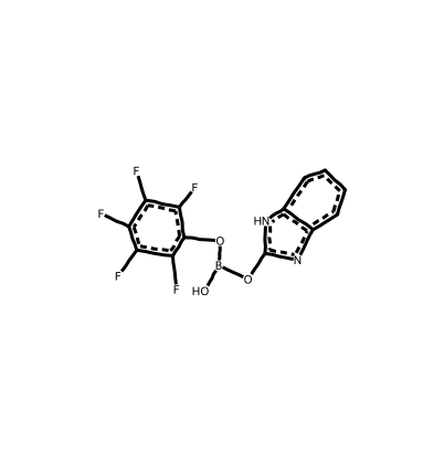 OB(Oc1nc2ccccc2[nH]1)Oc1c(F)c(F)c(F)c(F)c1F